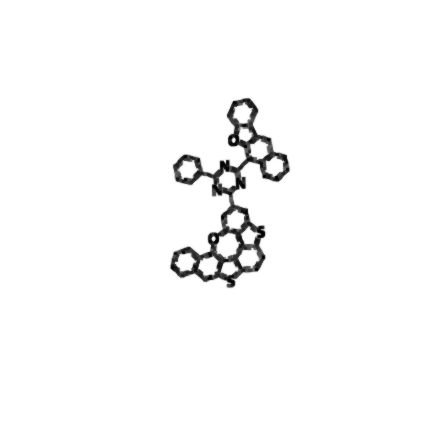 c1ccc(-c2nc(-c3cc4oc5c6ccccc6cc6sc7ccc8sc(c3)c4c8c7c65)nc(-c3c4ccccc4cc4c3oc3ccccc34)n2)cc1